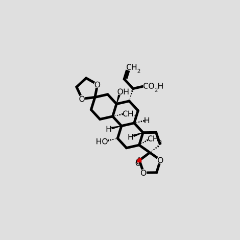 C=CC(C(=O)O)[C@@H]1C[C@@H]2[C@H]([C@@H](O)C[C@@]3(C)[C@H]2CC[C@@]32OCOC23COCO3)[C@@]2(C)CCC3(C[C@]12O)OCCO3